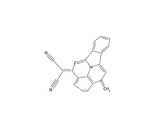 C=c1cc2c3ccccc3c3cc(=C(C#N)C#N)c4cccc1c4n23